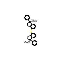 COC1(c2ccccc2)CCc2c(Sc3cccc4c3CCC4(OC)c3ccccc3)cccc21